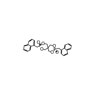 O=P1(Cc2cccc3ccccc23)OCC2(CO1)COP(=O)(Cc1cccc3ccccc13)OC2